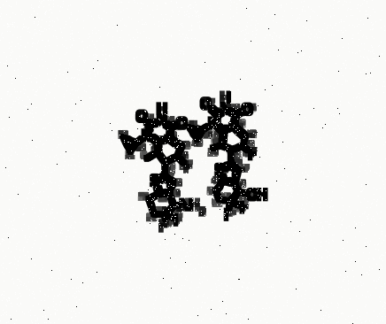 CC1=c2c(c(=O)[nH]c(=O)n2C2CC2)=CC(F)C1c1cc2c(s1)CCC(F)(F)C2N.CC1=c2c(c(=O)[nH]c(=O)n2C2CC2)=CC(F)C1c1cc2c(s1)CCC(F)(F)C2O